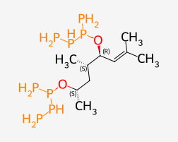 CC(C)=C[C@H](OP(P)PP)[C@@H](C)C[C@H](C)OP(P)PP